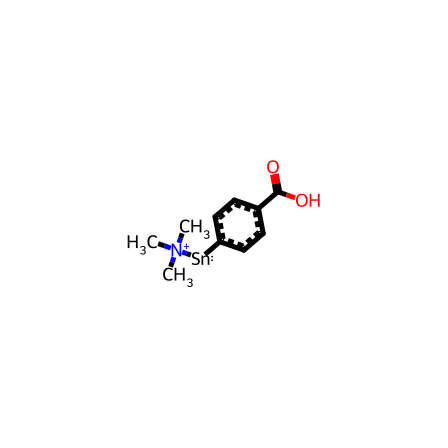 C[N+](C)(C)[Sn][c]1ccc(C(=O)O)cc1